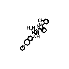 Nc1nc(Nc2ccc3c(c2)CCC(N2CCCC2)CC3)nn1-c1nnc(-c2ccccc2Cl)c2c1C1CCC2CC1